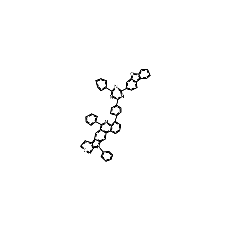 c1ccc(-c2nc(-c3ccc(-c4cccc5c4nc(-c4ccccc4)c4cc6c7ccccc7n(-c7ccccc7)c6cc45)cc3)nc(-c3ccc4c(c3)oc3ccccc34)n2)cc1